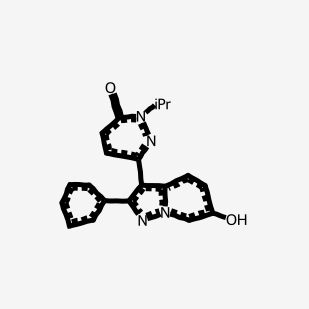 CC(C)n1nc(-c2c(-c3ccccc3)nn3cc(O)ccc23)ccc1=O